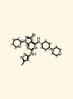 Cc1cc(Nc2nc(N[C@H]3CC[C@H](N4CCOCC4)CC3)c3c(Br)nn(C4CCCCO4)c3n2)sn1